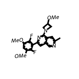 COc1cc(OC)c(F)c(-c2cc3cnc(C)cc3c(N3CC(OC)C3)n2)c1F